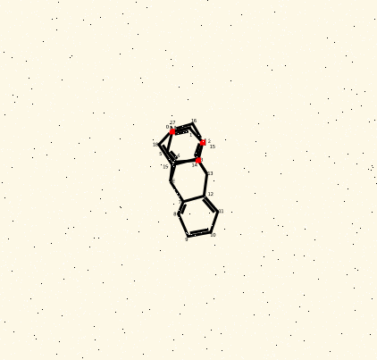 c1ccc2c(c1)C1c3ccccc3C2c2ncncc21